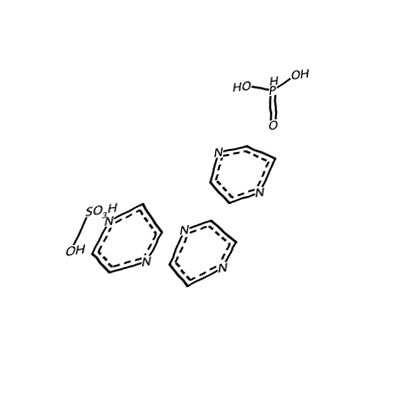 O=S(=O)(O)O.O=[PH](O)O.c1cnccn1.c1cnccn1.c1cnccn1